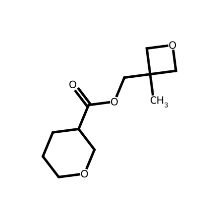 CC1(COC(=O)C2CCCOC2)COC1